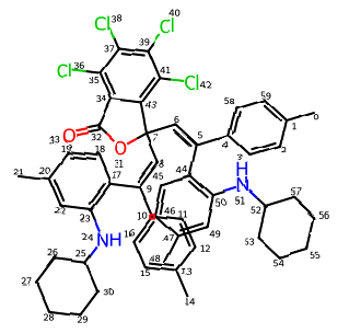 Cc1ccc(C(=CC2(C=C(c3ccc(C)cc3)c3ccc(C)cc3NC3CCCCC3)OC(=O)c3c(Cl)c(Cl)c(Cl)c(Cl)c32)c2ccc(C)cc2NC2CCCCC2)cc1